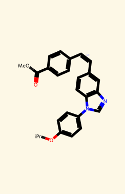 COC(=O)c1ccc(/C=C\c2ccc3c(c2)ncn3-c2ccc(OC(C)C)cc2)cc1